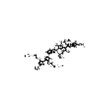 CCCCCCCCCCCCOc1cc(C)sc1-c1sc(-c2ccc(/C=C/C3=C4C(=C(/C=C/c5ccc(C)s5)C(=O)N4CC(CCCC)CCCCCC)N(CC(CCCC)CCCCCC)C3=O)s2)cc1OCCCCCCCCCCCC